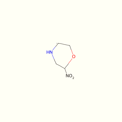 O=[N+]([O-])C1CN[CH]CO1